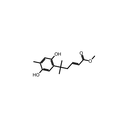 COC(=O)C=CCC(C)(C)c1cc(O)c(C)cc1O